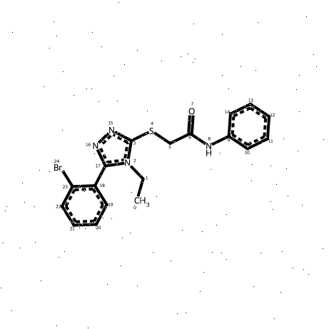 CCn1c(SCC(=O)Nc2ccccc2)nnc1-c1ccccc1Br